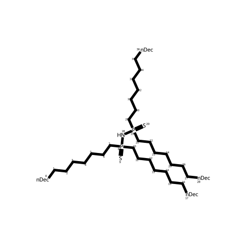 CCCCCCCCCCCCCCCCCP(=S)(CCCCCCCCCCCCCCCCC)NP(=S)(CCCCCCCCCCCCCCCCC)CCCCCCCCCCCCCCCCC